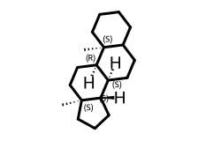 C[C@@]12CCC[C@H]1[C@@H]1CCC3CCCC[C@]3(C)[C@@H]1CC2